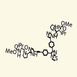 COC(=O)N[C@H](C(=O)N1CCCC1c1ncc(C#Cc2ccc(-c3c(-c4ccc(-c5cnc([C@@H]6CCCN6C(=O)[C@@H](NC(=O)OC)C(C)C)[nH]5)cc4)nc4sccn34)cc2)[nH]1)C(C)C